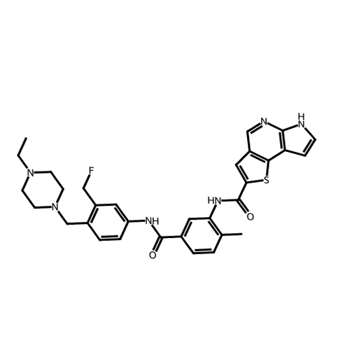 CCN1CCN(Cc2ccc(NC(=O)c3ccc(C)c(NC(=O)c4cc5cnc6[nH]ccc6c5s4)c3)cc2CF)CC1